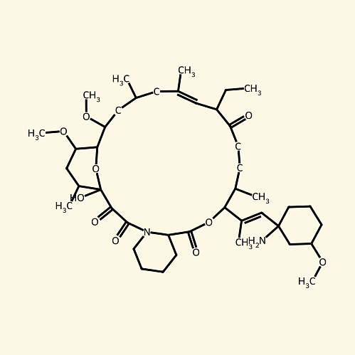 CCC1/C=C(\C)CC(C)CC(OC)C2OC(O)(C(=O)C(=O)N3CCCCC3C(=O)OC(C(C)=CC3(N)CCCC(OC)C3)C(C)CCC1=O)C(C)CC2OC